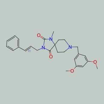 COc1cc(CN2CCC3(CC2)C(=O)N(C/C=C/c2ccccc2)C(=O)N3C)cc(OC)c1